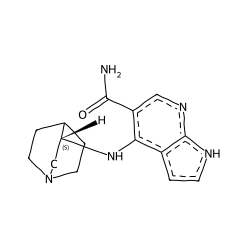 NC(=O)c1cnc2[nH]ccc2c1N[C@@H]1CN2CCC1CC2